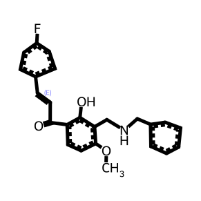 COc1ccc(C(=O)/C=C/c2ccc(F)cc2)c(O)c1CNCc1ccccc1